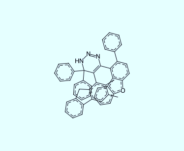 Cc1cc2c(c(C3=C(c4c(-c5ccccc5)ccc5oc6ccccc6c45)N=NNC3(c3ccccc3)c3ccccc3)c1C)Cc1ccccc1-2